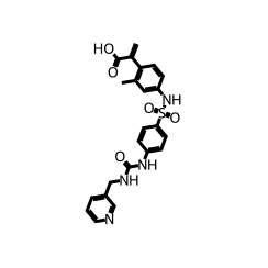 C=C(C(=O)O)c1ccc(NS(=O)(=O)c2ccc(NC(=O)NCc3cccnc3)cc2)cc1C